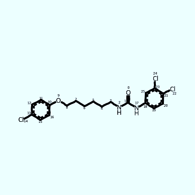 O=C(NCCCCCCOc1ccc(Cl)cc1)Nc1ccc(Cl)c(Cl)c1